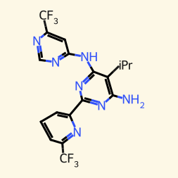 CC(C)c1c(N)nc(-c2cccc(C(F)(F)F)n2)nc1Nc1cc(C(F)(F)F)ncn1